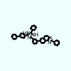 c1ccc(-c2ccc(C3=NC(c4cccc(-c5ccc6c(ccc7sc(-c8ccccc8)nc76)c5)c4)NC(c4ccccc4)N3)cc2)cc1